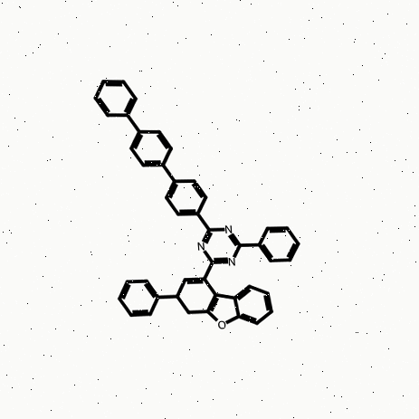 C1=C(c2nc(-c3ccccc3)nc(-c3ccc(-c4ccc(-c5ccccc5)cc4)cc3)n2)c2c(oc3ccccc23)CC1c1ccccc1